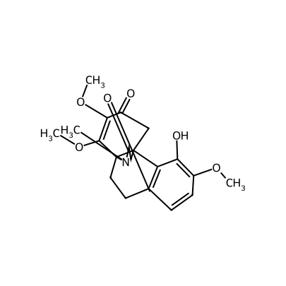 COC1=C(OC)C23CCc4ccc(OC)c(O)c4C2(CC1=O)CC(=O)N3C